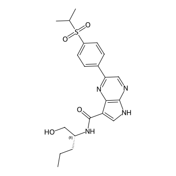 CCC[C@H](CO)NC(=O)c1c[nH]c2ncc(-c3ccc(S(=O)(=O)C(C)C)cc3)nc12